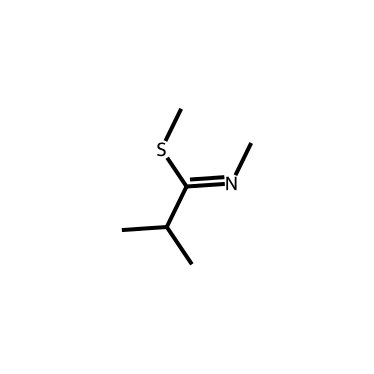 C/N=C(\SC)C(C)C